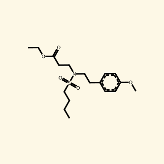 CCCCS(=O)(=O)N(CCC(=O)OCC)CCc1ccc(OC)cc1